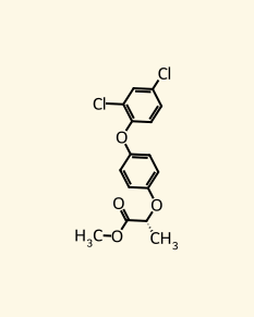 COC(=O)[C@@H](C)Oc1ccc(Oc2ccc(Cl)cc2Cl)cc1